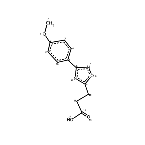 COc1ccc(-c2noc(CCC(=O)O)n2)cc1